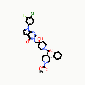 CC(C)(C)OC(=O)N1CC[C@@H](C(=O)N2CCC(O)(Cn3cnc4c(ccn4-c4ccc(Cl)c(F)c4)c3=O)CC2)[C@H](c2ccccc2)C1